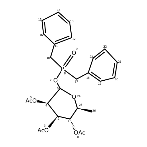 CC(=O)O[C@@H]1[C@@H](OC(C)=O)[C@@H](OC(C)=O)C(OP(=O)(Cc2ccccc2)Cc2ccccc2)O[C@H]1C